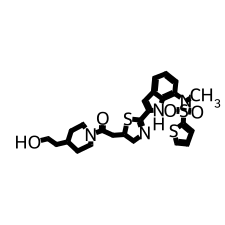 CN(c1cccc2cc(C3=NCC(CC(=O)N4CCC(CCO)CC4)S3)[nH]c12)S(=O)(=O)c1cccs1